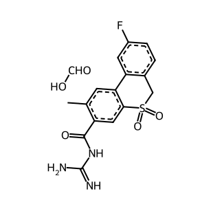 Cc1cc2c(cc1C(=O)NC(=N)N)S(=O)(=O)Cc1ccc(F)cc1-2.O=CO